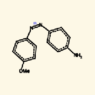 COc1ccc(/N=N\c2ccc(N)cc2)cc1